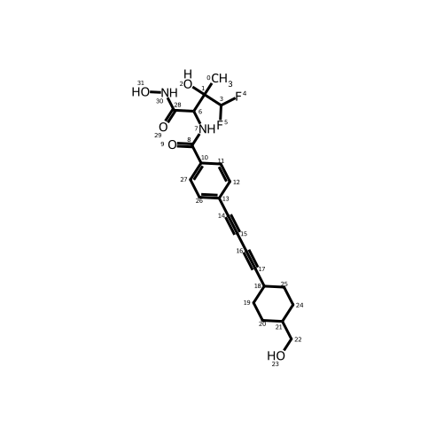 CC(O)(C(F)F)C(NC(=O)c1ccc(C#CC#CC2CCC(CO)CC2)cc1)C(=O)NO